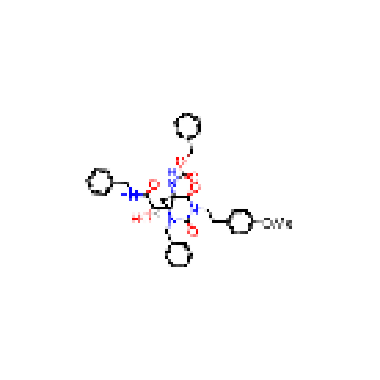 COc1ccc(CCN(C(=O)N(Cc2ccccc2)C[C@H](O)C(=O)NCc2ccccc2)C(=O)C2(NC(=O)OCc3ccccc3)CC2)cc1